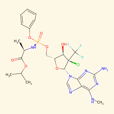 CNc1nc(N)nc2c1ncn2[C@@H]1O[C@H](CO[P@](=O)(N[C@H](C)C(=O)OC(C)C)Oc2ccccc2)[C@@H](O)[C@]1(Cl)C(F)(F)F